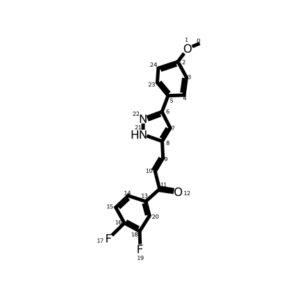 COc1ccc(-c2cc(C=CC(=O)c3ccc(F)c(F)c3)[nH]n2)cc1